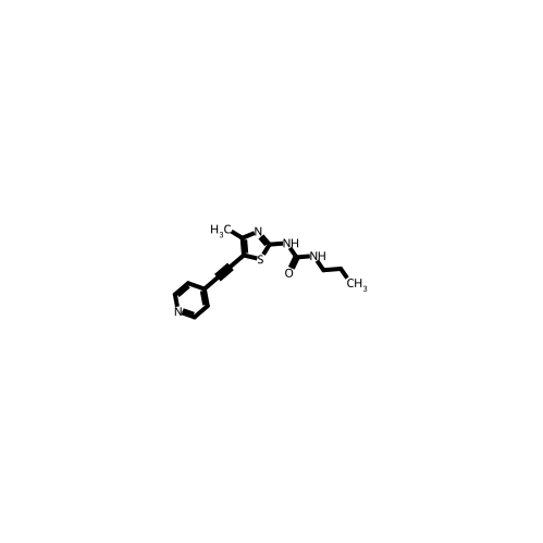 CCCNC(=O)Nc1nc(C)c(C#Cc2ccncc2)s1